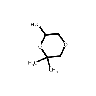 CC1COCC(C)(C)O1